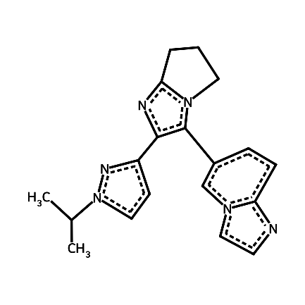 CC(C)n1ccc(-c2nc3n(c2-c2ccc4nccn4c2)CCC3)n1